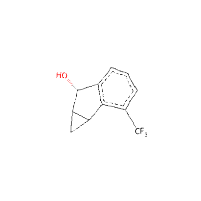 O[C@@H]1c2cccc(C(F)(F)F)c2C2CC21